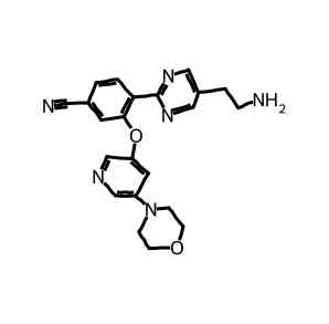 N#Cc1ccc(-c2ncc(CCN)cn2)c(Oc2cncc(N3CCOCC3)c2)c1